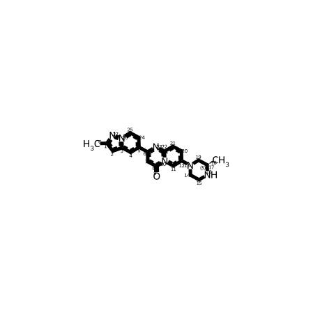 Cc1cc2cc(-c3cc(=O)n4cc(N5CCN[C@@H](C)C5)ccc4n3)ccn2n1